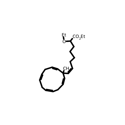 CCOC(=O)C(CCCC/C=C\C1(C)/C=C\C/C=C\C/C=C\C/C=C\1)OCC